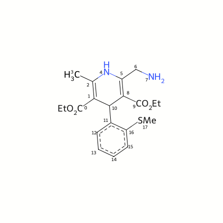 CCOC(=O)C1=C(C)NC(CN)=C(C(=O)OCC)C1c1ccccc1SC